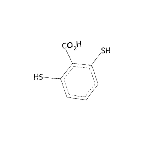 O=C(O)c1c(S)cccc1S